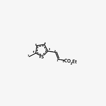 CCOC(=O)/C=C/c1ccc(C)s1